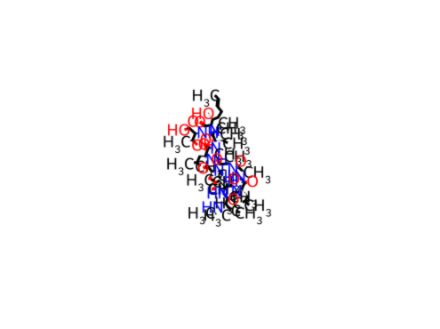 CC=CC[C@@H](C)[C@@H](O)[C@@H](C(=O)N[C@H](C(=O)O)[C@@H](C)O)N(C)C(=O)[C@H](C(C)C)N(C)C(=O)[C@H](CC(C)C)NC(=O)[C@H](CC(C)C)N(C)C(=O)[C@@H](C)NC(=O)[C@H](C)NC(=O)[C@H](CC(C)C)N(C)C(=O)[C@H](CC(C)C)NC(=O)[C@@H](NCC)C(C)CC